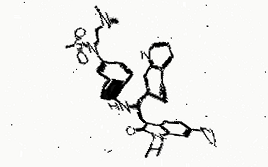 CN(C)CCN(c1ccc(N/C(=C2\C(=O)Nc3cc(Cl)ccc32)c2ccc3cccnc3c2)cc1)S(C)(=O)=O